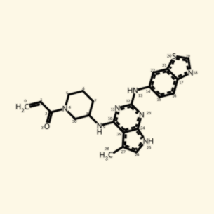 C=CC(=O)N1CCCC(Nc2nc(Nc3ccc4ncsc4c3)nc3[nH]cc(C)c23)C1